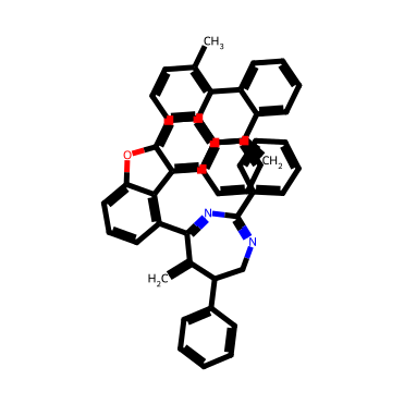 C=C(c1ccc2oc3cccc(C4=NC(c5ccccc5)=NCC(c5ccccc5)C4=C)c3c2c1)c1ccccc1-c1c(C)cccc1-c1ccccc1